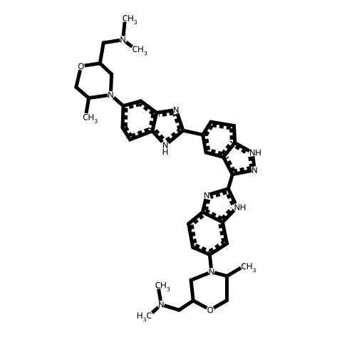 CC1COC(CN(C)C)CN1c1ccc2[nH]c(-c3ccc4[nH]nc(-c5nc6ccc(N7CC(CN(C)C)OCC7C)cc6[nH]5)c4c3)nc2c1